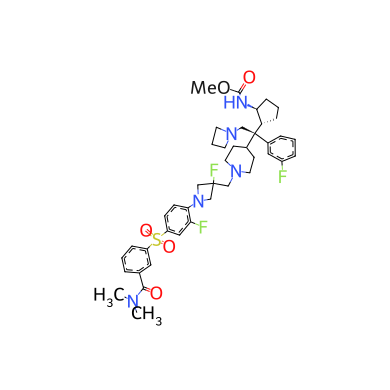 COC(=O)N[C@H]1CCC[C@@H]1[C@](CN1CCC1)(c1cccc(F)c1)C1CCN(CC2(F)CN(c3ccc(S(=O)(=O)c4cccc(C(=O)N(C)C)c4)cc3F)C2)CC1